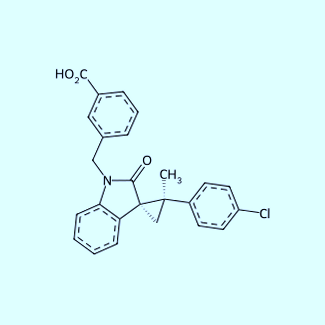 C[C@]1(c2ccc(Cl)cc2)C[C@]12C(=O)N(Cc1cccc(C(=O)O)c1)c1ccccc12